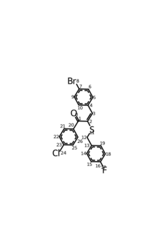 O=C(/C(=C\c1ccc(Br)cc1)SCc1ccc(F)cc1)c1ccc(Cl)cc1